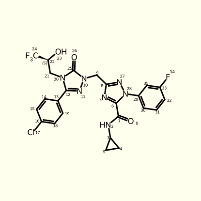 O=C(NC1CC1)c1nc(Cn2nc(-c3ccc(Cl)cc3)n(C[C@H](O)C(F)(F)F)c2=O)nn1-c1cccc(F)c1